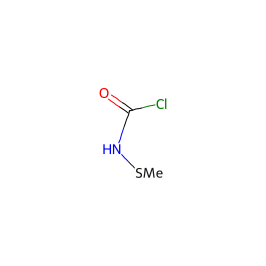 CSNC(=O)Cl